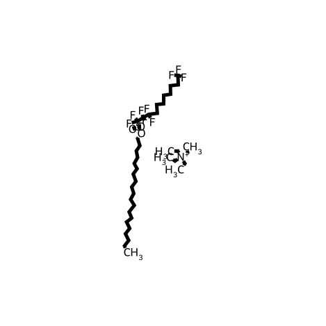 CCCCCCCCCCCCCCCCCCCCOS(=O)(=O)C(F)(F)C(F)(F)C(F)(F)CCCCCCCC(F)(F)F.CC[N+](CC)(CC)CC